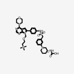 C[Si](C)(C)CCOCn1c(-c2ccc(NS(=O)(=O)Cc3cccc(N4CCC[C@@H](NC(=O)O)C4)c3)cc2)cc2c(N3CCOCC3)ncnc21